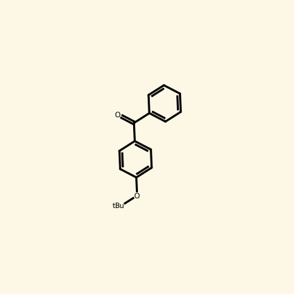 CC(C)(C)Oc1ccc(C(=O)c2ccccc2)cc1